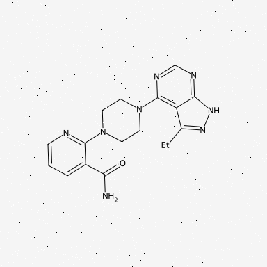 CCc1n[nH]c2ncnc(N3CCN(c4ncccc4C(N)=O)CC3)c12